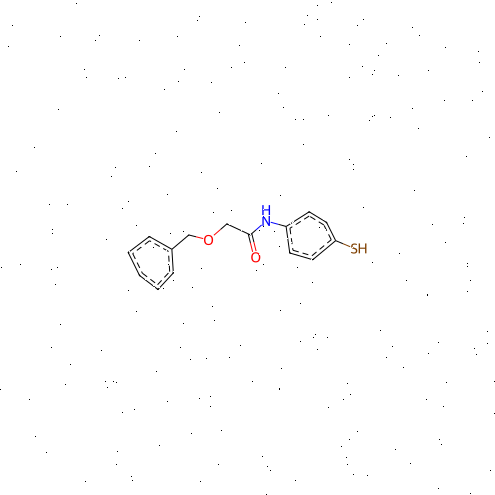 O=C(COCc1ccccc1)Nc1ccc(S)cc1